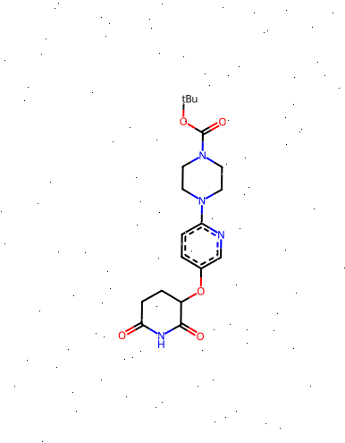 CC(C)(C)OC(=O)N1CCN(c2ccc(OC3CCC(=O)NC3=O)cn2)CC1